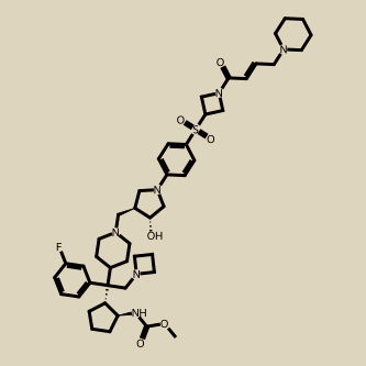 COC(=O)N[C@H]1CCC[C@@H]1C(CN1CCC1)(c1cccc(F)c1)C1CCN(C[C@H]2CN(c3ccc(S(=O)(=O)C4CN(C(=O)/C=C/CN5CCCCC5)C4)cc3)C[C@@H]2O)CC1